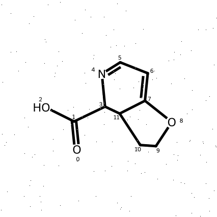 O=C(O)C1N=CC=C2OCCC21